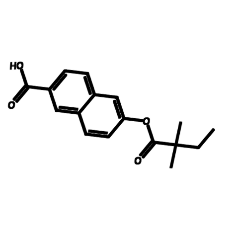 CCC(C)(C)C(=O)Oc1ccc2cc(C(=O)O)ccc2c1